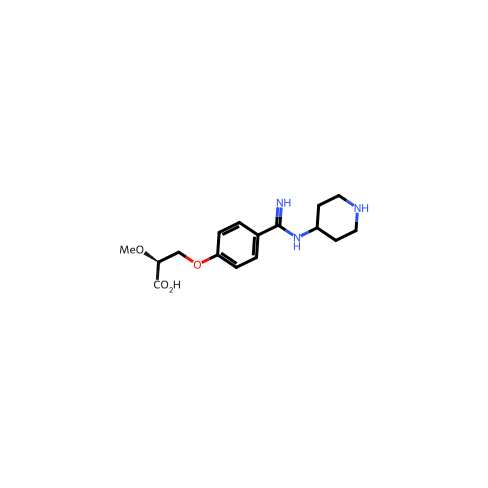 CO[C@@H](COc1ccc(C(=N)NC2CCNCC2)cc1)C(=O)O